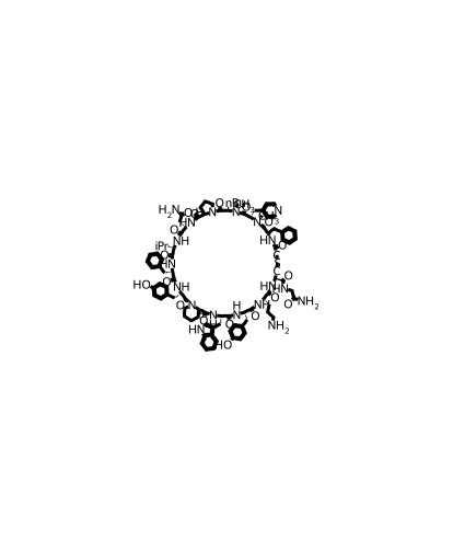 CCCC[C@H]1C(=O)N2CCC[C@@H]2C(=O)N[C@@H](CC(N)=O)C(=O)N[C@@H](C(C)C)C(=O)N[C@@H](Cc2ccccc2)C(=O)N[C@@H](Cc2ccc(O)cc2)C(=O)N2CCCC[C@@H]2C(=O)N[C@@H](Cc2c[nH]c3ccccc23)C(=O)N[C@@H](Cc2ccc(O)cc2)C(=O)N[C@@H](CCCN)C(=O)N[C@H](C(=O)NCC(N)=O)CSCC(=O)NC(Cc2ccccc2)C(=O)N(C)[C@@H](Cc2ccncc2)C(=O)N1C